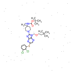 CC1(NC(=O)OC(C)(C)C)CCN(c2nc3nc(Sc4cccc(Cl)c4Cl)cnc3n2COCC[Si](C)(C)C)CC1